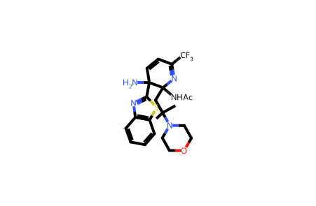 CC(=O)NC1(CC(C)(C)N2CCOCC2)N=C(C(F)(F)F)C=CC1(N)c1nc2[c]cccc2s1